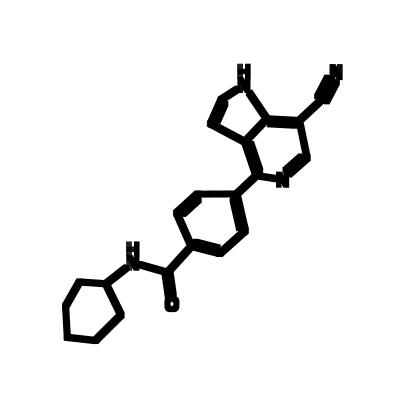 N#Cc1cnc(-c2ccc(C(=O)NC3CCCCC3)cc2)c2cc[nH]c12